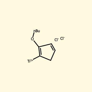 CCCCOC1=[C]([Ti+2])CC=C1.[Cl-].[Cl-]